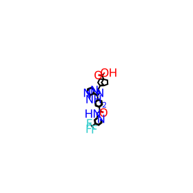 Nc1nccn2c(C3=C4CCC(C(=O)O)(CC3)C4)nc(-c3ccc(C(=O)Nc4cc(C(F)(F)F)ccn4)cc3)c12